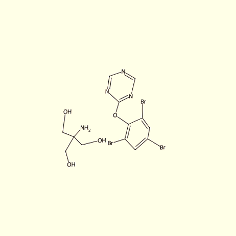 Brc1cc(Br)c(Oc2ncncn2)c(Br)c1.NC(CO)(CO)CO